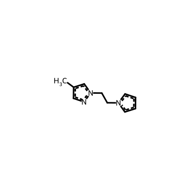 Cc1cnn(CCn2cccc2)c1